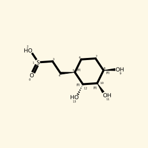 O=S(O)CC[C@H]1CC[C@@H](O)[C@@H](O)[C@@H]1O